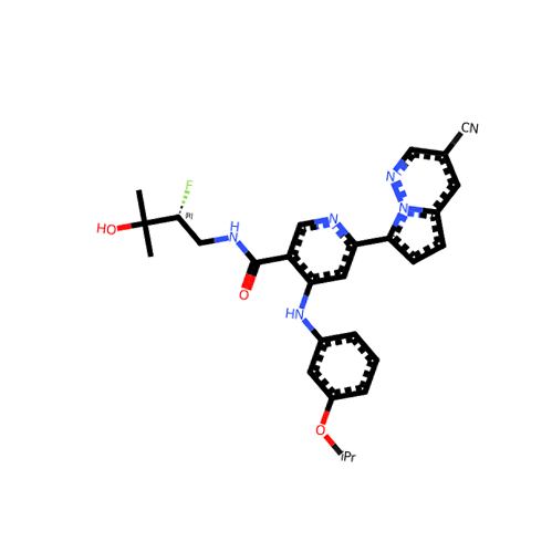 CC(C)Oc1cccc(Nc2cc(-c3ccc4cc(C#N)cnn34)ncc2C(=O)NC[C@@H](F)C(C)(C)O)c1